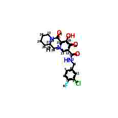 O=C(NCc1ccc(F)c(Cl)c1)c1cn2c(c(O)c1=O)C(=O)N1CCCC[C@@H]1C2